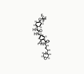 COc1cc(NC(=O)Nc2ccc(OC(F)(F)F)cc2)ccc1C(=O)NCCCN1CCOCC1